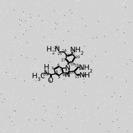 CNC(=O)c1ccc2c(c1)nc(/C(C=N)=C/N)n2-c1ccc(N)c(CCN)c1